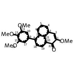 COC1=Cc2cccc3c(-c4cc(OC)c(OC)c(OC)c4)ccc(c23)C1=O